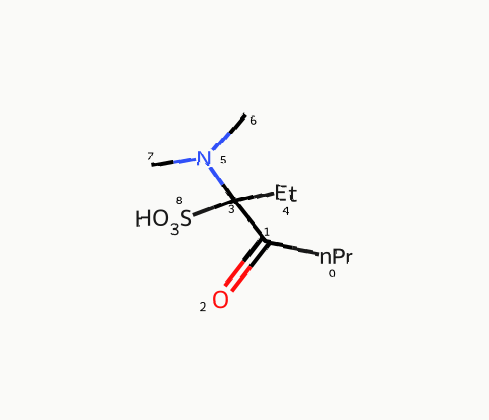 CCCC(=O)C(CC)(N(C)C)S(=O)(=O)O